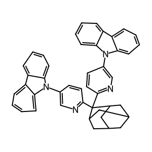 c1ccc2c(c1)c1ccccc1n2-c1ccc(C2(c3ccc(-n4c5ccccc5c5ccccc54)cn3)C3CC4CC(C3)CC2C4)nc1